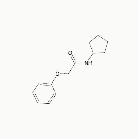 O=C(COc1ccccc1)NC1CCCC1